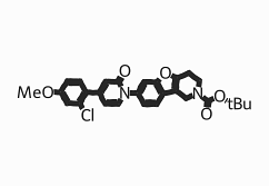 COc1ccc(-c2ccn(-c3ccc4c5c(oc4c3)CCN(C(=O)OC(C)(C)C)C5)c(=O)c2)c(Cl)c1